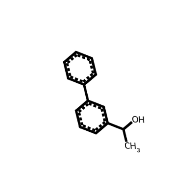 CC(O)c1cccc(-c2ccccc2)c1